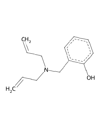 C=CCN(CC=C)Cc1ccccc1O